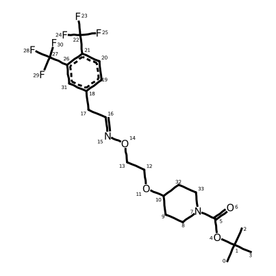 CC(C)(C)OC(=O)N1CCC(OCCON=CCc2ccc(C(F)(F)F)c(C(F)(F)F)c2)CC1